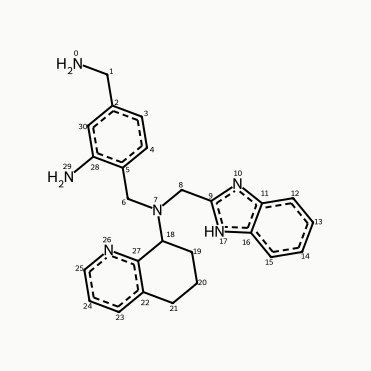 NCc1ccc(CN(Cc2nc3ccccc3[nH]2)C2CCCc3cccnc32)c(N)c1